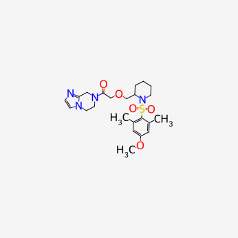 COc1cc(C)c(S(=O)(=O)N2CCCCC2COCC(=O)N2CCn3ccnc3C2)c(C)c1